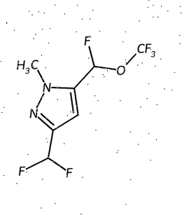 Cn1nc(C(F)F)cc1C(F)OC(F)(F)F